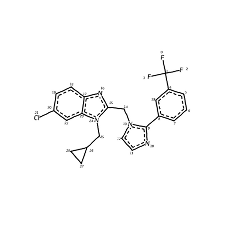 FC(F)(F)c1cccc(-c2nccn2Cc2nc3ccc(Cl)cc3n2CC2CC2)c1